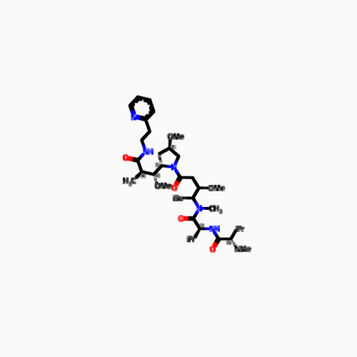 CCC(C)C(C(CC(=O)N1C[C@H](OC)C[C@H]1[C@H](OC)[C@@H](C)C(=O)NCCc1ccccn1)OC)N(C)C(=O)[C@@H](NC(=O)[C@@H](NC)C(C)C)C(C)C